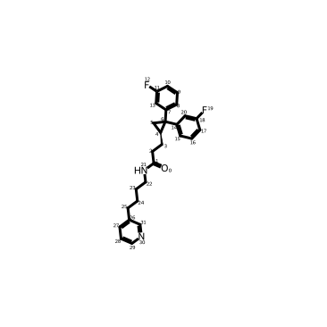 O=C(CC[C@H]1CC1(c1cccc(F)c1)c1cccc(F)c1)NCCCCc1cccnc1